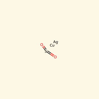 O=[Si]=O.[Ag].[Cu]